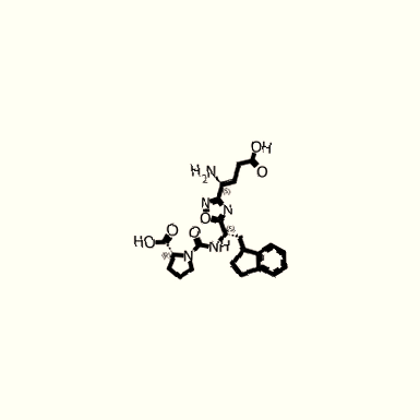 N[C@@H](CCC(=O)O)c1noc([C@H](CC2CCc3ccccc32)NC(=O)N2CCC[C@@H]2C(=O)O)n1